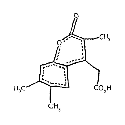 Cc1cc2oc(=O)c(C)c(CC(=O)O)c2cc1C